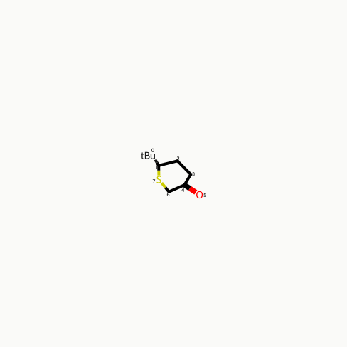 CC(C)(C)C1CCC(=O)CS1